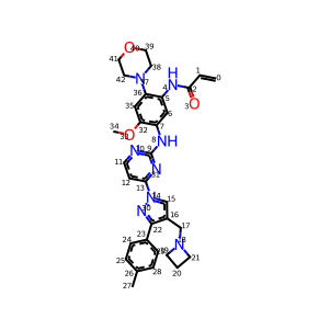 C=CC(=O)Nc1cc(Nc2nccc(-n3cc(CN4CCC4)c(-c4ccc(C)cc4)n3)n2)c(OC)cc1N1CCOCC1